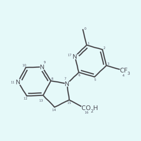 Cc1cc(C(F)(F)F)cc(N2c3ncncc3CC2C(=O)O)n1